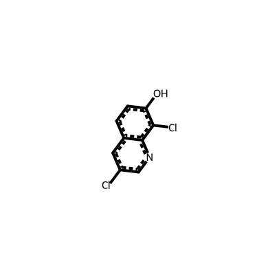 Oc1ccc2cc(Cl)cnc2c1Cl